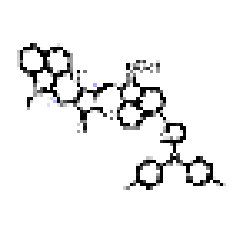 CCCCCCCC[N+]1=C(/C=C2\C(=O)C(=O)C(/C=c3\c4cccc5cccc(c54)n3I)=C2[O-])c2cccc3c(-c4ccc(N(c5ccc(C)cc5)c5ccc(C)cc5)s4)ccc1c23